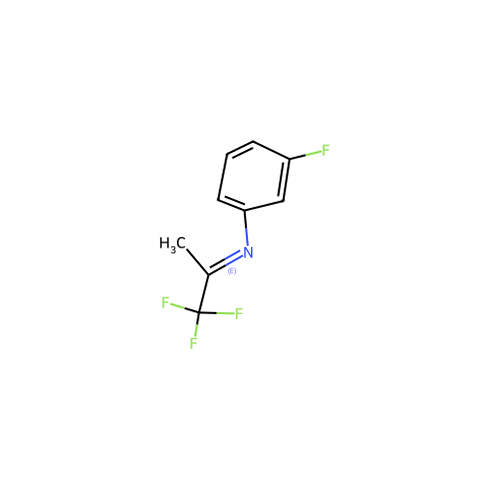 C/C(=N\c1cccc(F)c1)C(F)(F)F